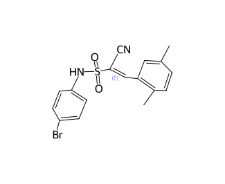 Cc1ccc(C)c(/C=C(\C#N)S(=O)(=O)Nc2ccc(Br)cc2)c1